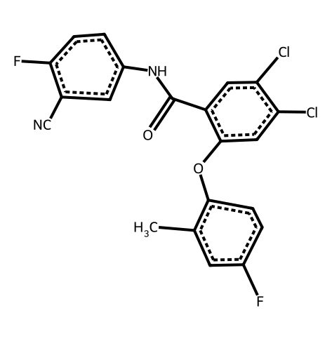 Cc1cc(F)ccc1Oc1cc(Cl)c(Cl)cc1C(=O)Nc1ccc(F)c(C#N)c1